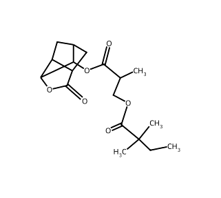 CCC(C)(C)C(=O)OCC(C)C(=O)OC1C2CC3C(=O)OC1C3C2